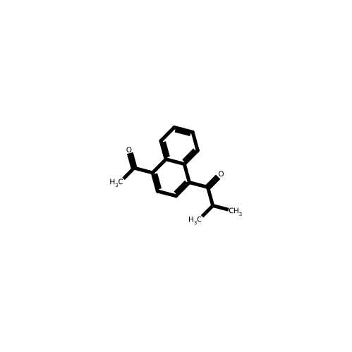 CC(=O)c1ccc(C(=O)C(C)C)c2ccccc12